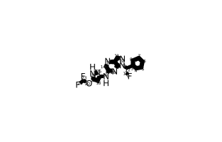 FC[C@@H](c1ccccc1)n1ncc2ncc(Nc3cc(OC(F)F)[nH]n3)nc21